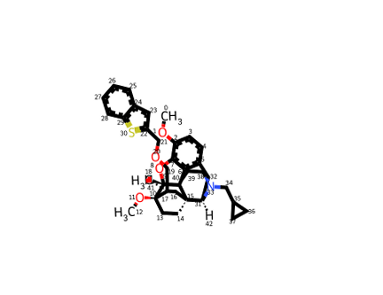 COc1ccc2c3c1O[C@H]1[C@@]4(OC)CC[C@@]5(C[C@]4(C)COCc4cc6ccccc6s4)[C@@H](C2)N(CC2CC2)CC[C@]315